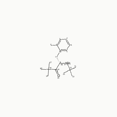 Cc1ccccc1C[C@H](NC(C)(C)C)C(=O)C(C)(C)C